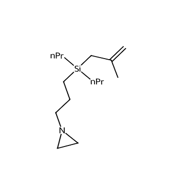 C=C(C)C[Si](CCC)(CCC)CCCN1CC1